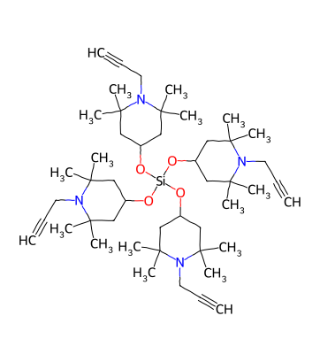 C#CCN1C(C)(C)CC(O[Si](OC2CC(C)(C)N(CC#C)C(C)(C)C2)(OC2CC(C)(C)N(CC#C)C(C)(C)C2)OC2CC(C)(C)N(CC#C)C(C)(C)C2)CC1(C)C